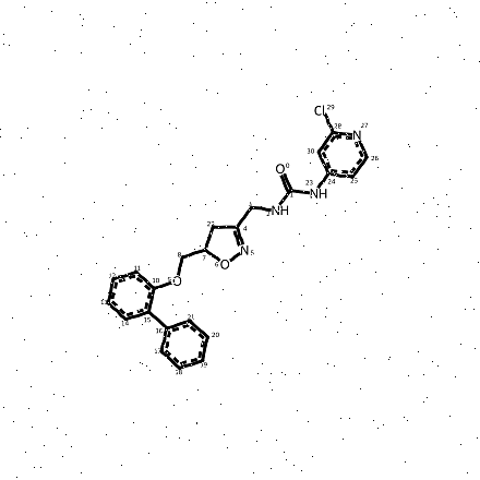 O=C(NCC1=NOC(COc2ccccc2-c2ccccc2)C1)Nc1ccnc(Cl)c1